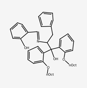 CCCCCCCCOc1ccccc1C(O)(c1ccccc1OCCCCCCCC)C(Cc1ccccc1)N=Cc1ccccc1O